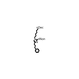 CCCCCCCCCCCCCCCCn1cc(CCCc2ccccc2)nc1CCCCCCCCC